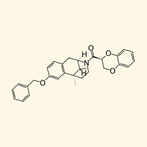 C[C@H]1[C@H]2Cc3ccc(OCc4ccccc4)cc3[C@]1(C)CCN2C(=O)[C@@H]1COc2ccccc2O1